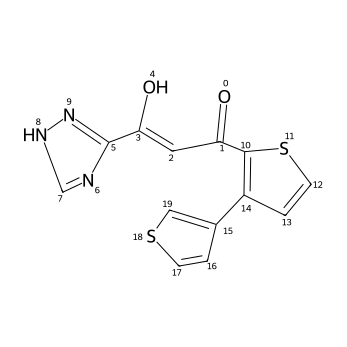 O=C(C=C(O)c1nc[nH]n1)c1sccc1-c1ccsc1